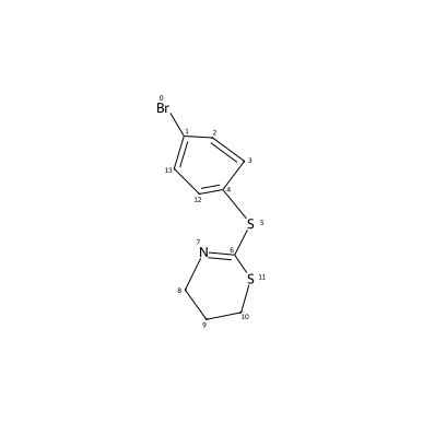 Brc1ccc(SC2=NCCCS2)cc1